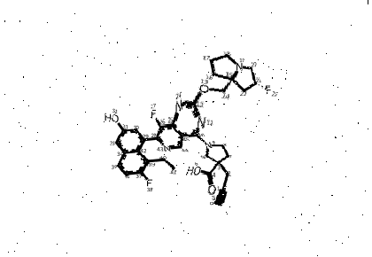 C#CCC1(C(=O)O)CCN(c2nc(OC[C@@]34CCCN3C[C@H](F)C4)nc3c(F)c(-c4cc(O)cc5ccc(F)c(CC)c45)ncc23)C1